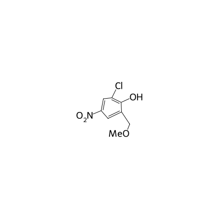 COCc1cc([N+](=O)[O-])cc(Cl)c1O